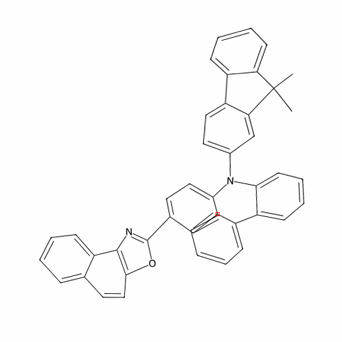 CC1(C)c2ccccc2-c2ccc(N(c3ccc(-c4nc5c(ccc6ccccc65)o4)cc3)c3ccccc3-c3ccccc3)cc21